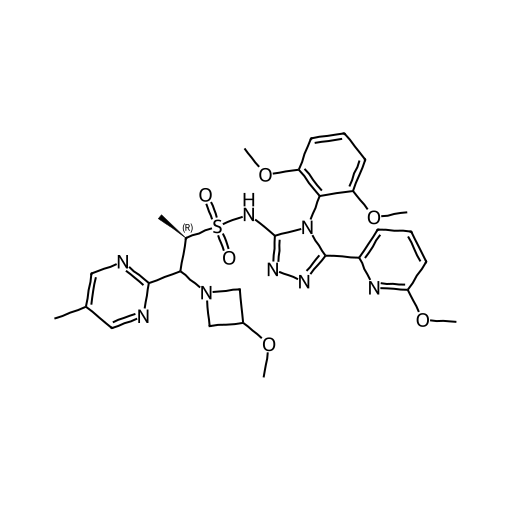 COc1cccc(-c2nnc(NS(=O)(=O)[C@H](C)C(c3ncc(C)cn3)N3CC(OC)C3)n2-c2c(OC)cccc2OC)n1